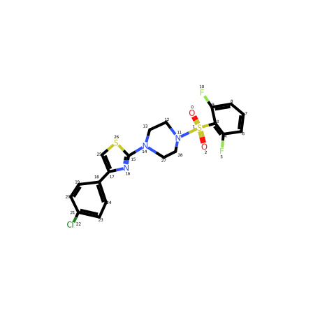 O=S(=O)(c1c(F)cccc1F)N1CCN(c2nc(-c3ccc(Cl)cc3)cs2)CC1